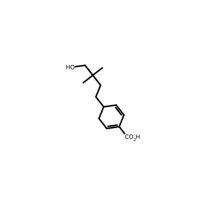 CC(C)(CO)CCC1C=CC(C(=O)O)=CC1